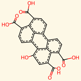 O=C(O)c1ccc2c3ccc(C(=O)O)c4c(C(=O)O)cc(O)c(c5ccc(C(=O)O)c1c25)c43